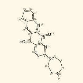 CN1CCCN(c2ccc3c(n2)C(=O)c2nc4ccccc4nc2C3=O)CC1